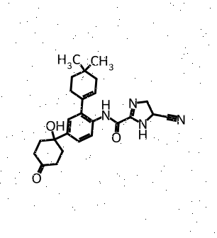 CC1(C)CC=C(c2cc(C3(O)CCC(=O)CC3)ccc2NC(=O)C2=NCC(C#N)N2)CC1